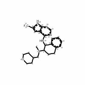 CN(CC1CCOCC1)C1CCc2ccccc2C1Nc1ncnc2[nH]c(C(F)(F)F)cc12